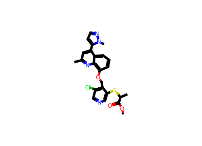 COC(=O)C(C)Sc1cncc(Cl)c1COc1cccc2c(-c3ccnn3C)cc(C)nc12